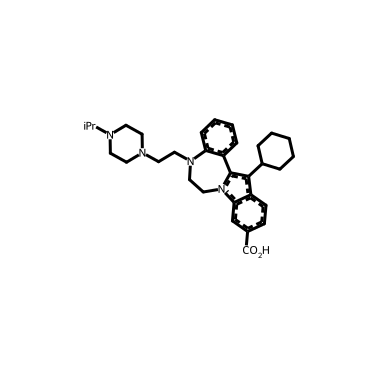 CC(C)N1CCN(CCN2CCn3c(c(C4CCCCC4)c4ccc(C(=O)O)cc43)-c3ccccc32)CC1